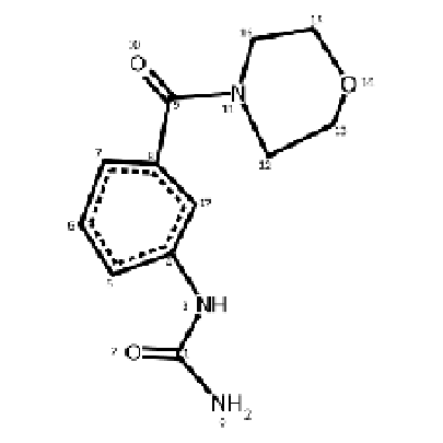 NC(=O)Nc1cccc(C(=O)N2CCOCC2)c1